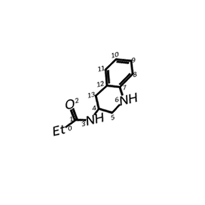 CCC(=O)NC1CNc2ccccc2C1